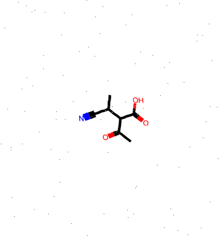 CC(=O)C(C(=O)O)C(C)C#N